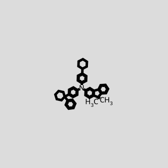 CC1(C)c2ccccc2-c2cc(N(c3ccc(C4CCCCC4)cc3)c3ccc(C4(c5ccccc5)CCCCC4)cc3)ccc21